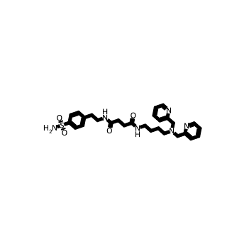 NS(=O)(=O)c1ccc(CCNC(=O)CCC(=O)NCCCCN(Cc2ccccn2)Cc2ccccn2)cc1